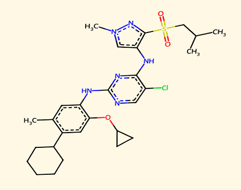 Cc1cc(Nc2ncc(Cl)c(Nc3cn(C)nc3S(=O)(=O)CC(C)C)n2)c(OC2CC2)cc1C1CCCCC1